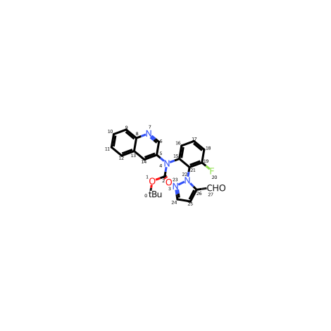 CC(C)(C)OC(=O)N(c1cnc2ccccc2c1)c1cccc(F)c1-n1nccc1C=O